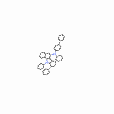 c1ccc(-c2ccc(N(c3ccccc3)c3cc4ccccc4c4c3c3cccc(-c5ccccc5)c3n4-c3ccccc3)cc2)cc1